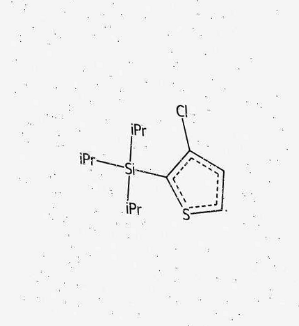 CC(C)[Si](c1s[c]cc1Cl)(C(C)C)C(C)C